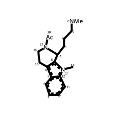 CNCCCC1c2c(c3ccccc3n2C)CCN1C(C)=O